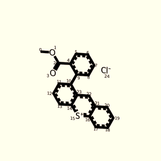 COC(=O)c1ccccc1-c1cccc2[s+]c3ccccc3cc12.[Cl-]